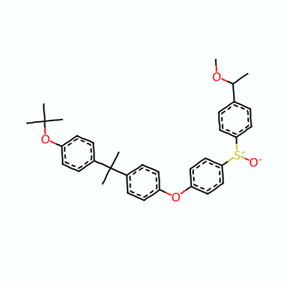 COC(C)c1ccc([S+]([O-])c2ccc(Oc3ccc(C(C)(C)c4ccc(OC(C)(C)C)cc4)cc3)cc2)cc1